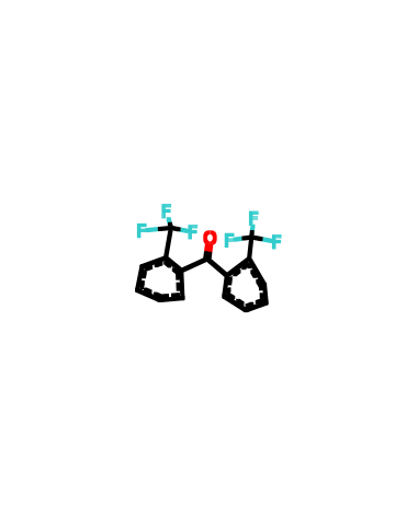 O=C(c1ccccc1C(F)(F)F)c1ccccc1C(F)(F)F